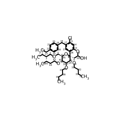 CCCCOC[C@H]1O[C@]2(CC(O)Oc3cc(Cl)c(Cc4ccc(CC)cc4)cc32)[C@H](OCCCC)[C@@H](OCCCC)[C@@H]1OCCCC